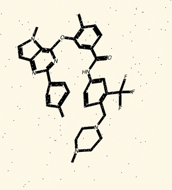 Cc1ccc(-c2nc(Oc3cc(C(=O)Nc4ccc(CN5CCN(C)CC5)c(C(F)(F)F)c4)ccc3C)c3c(ccn3C)n2)cc1